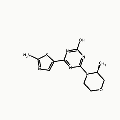 C[C@H]1COCCN1c1nc(O)nc(-c2cnc(N)s2)n1